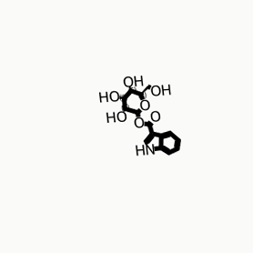 O=C(OC1O[C@H](CO)[C@@H](O)[C@H](O)[C@H]1O)c1c[nH]c2ccccc12